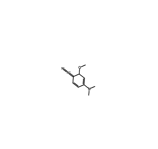 COC1C=C(N(C)C)C=CC1=[N+]=[N-]